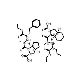 CCC[C@H](N[C@@H](C)C(=O)N1[C@H](C(=O)O)C[C@@H]2CCCC[C@@H]21)C(=O)OCC.CCOC(=O)[C@H](CCc1ccccc1)N[C@@H](C)C(=O)N1[C@H](C(=O)O)C[C@@H]2CCC[C@@H]21